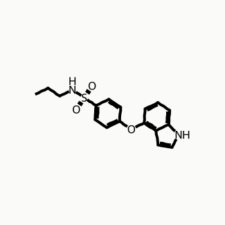 CCCNS(=O)(=O)c1ccc(Oc2cccc3[nH]ccc23)cc1